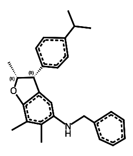 Cc1c(NCc2ccccc2)cc2c(c1C)O[C@H](C)[C@@H]2c1ccc(C(C)C)cc1